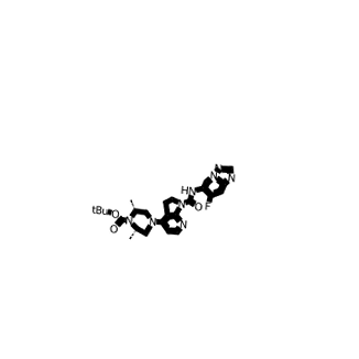 C[C@@H]1CN(c2ccnc3c2CCN3C(=O)Nc2cn3ncnc3cc2F)C[C@H](C)N1C(=O)OC(C)(C)C